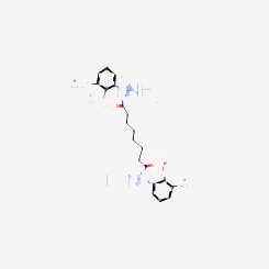 CC(=O)c1cccc(N(N)C(=O)CCCCCCC(=O)N(N)c2cccc(C(C)=O)c2C(C)=O)c1C(C)=O